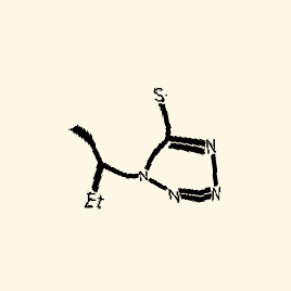 CCC(C)n1nnnc1[S]